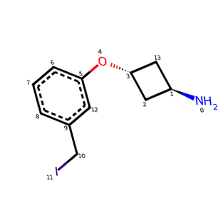 N[C@H]1C[C@H](Oc2cccc(CI)c2)C1